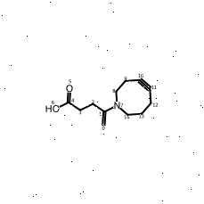 C=C(CCC(=O)O)N1CCC#CCCC1